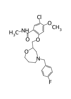 CNC(=O)c1cc(Cl)c(OC)cc1OCC1CN(Cc2ccc(F)cc2)CCCO1